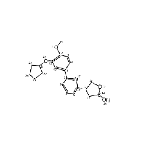 COc1ccc(-c2cccc([C@@H]3COB(O)C3)n2)cc1OC1CCCC1